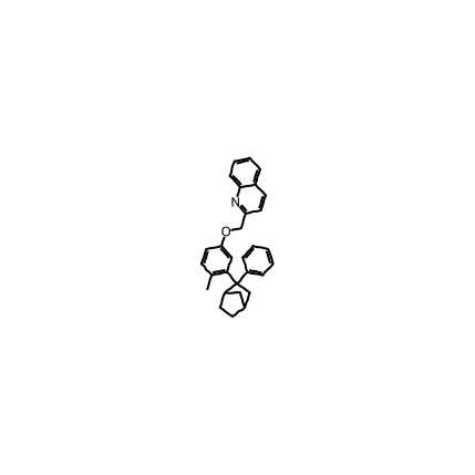 Cc1ccc(OCc2ccc3ccccc3n2)cc1C1(c2ccccc2)CC2CCC1C2